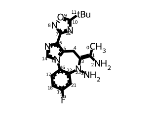 C/C(N)=C1\Cc2c(-c3noc(C(C)(C)C)n3)ncn2-c2ccc(F)cc2N1N